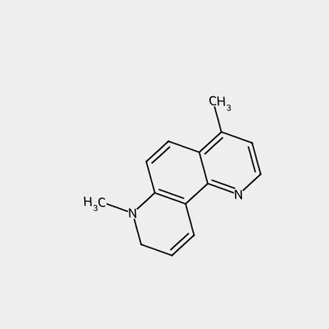 Cc1ccnc2c3c(ccc12)N(C)CC=C3